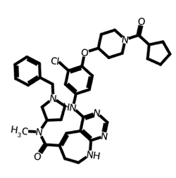 CN(C(=O)C1=Cc2c(ncnc2Nc2ccc(OC3CCN(C(=O)C4CCCC4)CC3)c(Cl)c2)NCC1)C1CCN(Cc2ccccc2)C1